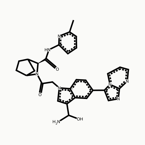 Cc1cccc(NC(=O)[C@@H]2C3CCC(C3)N2C(=O)Cn2cc(C(N)O)c3cc(-c4cnc5ncccn45)ccc32)n1